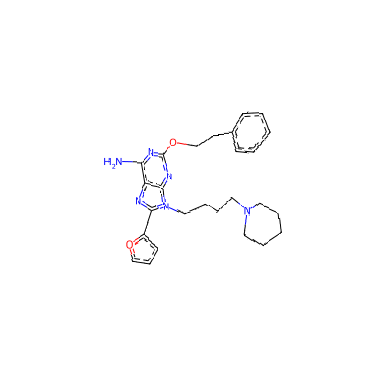 Nc1nc(OCCc2ccccc2)nc2c1nc(-c1ccco1)n2CCCCN1CCCCC1